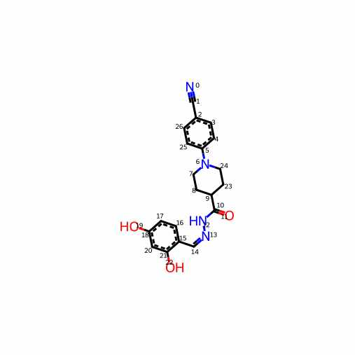 N#Cc1ccc(N2CCC(C(=O)N/N=C\c3ccc(O)cc3O)CC2)cc1